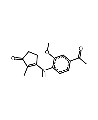 COc1cc(C(C)=O)ccc1NC1=C(C)C(=O)CC1